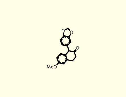 COc1ccc2c(c1)CCC(=O)C2c1ccc2c(c1)OCO2